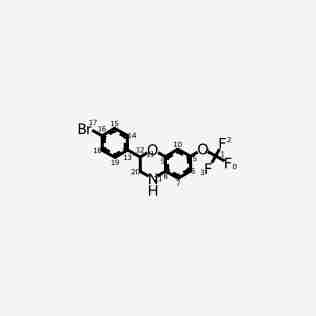 FC(F)(F)Oc1ccc2c(c1)OC(c1ccc(Br)cc1)CN2